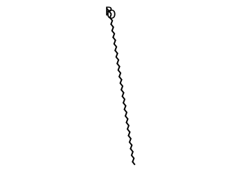 C=P(C)(C)OCCCCCCCCCCCCCCCCCCCCCCCCCCCCCCCCCCCCCCCCCCCCCC